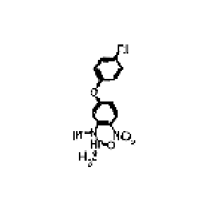 CC(C)N(c1cc(Oc2ccc(Cl)cc2)ccc1[N+](=O)[O-])[PH](C)=O